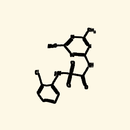 COc1nc(C)nc(NC(=O)S(=O)(=O)Nc2ccccc2Cl)n1